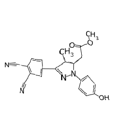 COC(=O)CC1C(C)C(c2ccc(C#N)c(C#N)c2)=NN1c1ccc(O)cc1